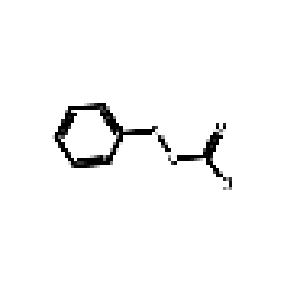 CC(=O)OSc1[c]cccc1